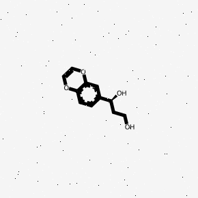 OCC[C@H](O)c1ccc2c(c1)OC=CO2